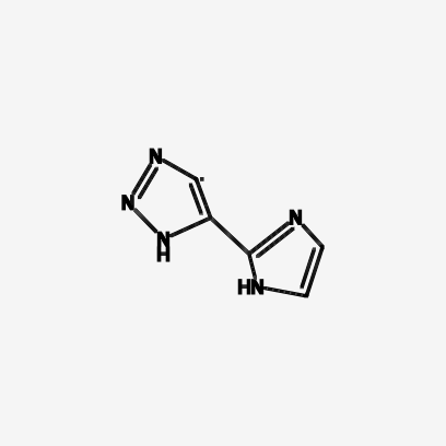 [c]1nn[nH]c1-c1ncc[nH]1